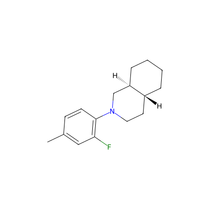 Cc1ccc(N2CC[C@H]3CCCC[C@@H]3C2)c(F)c1